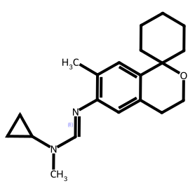 Cc1cc2c(cc1/N=C/N(C)C1CC1)CCOC21CCCCC1